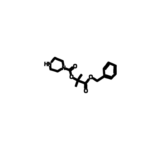 CC(C)(OC(=O)N1CCNCC1)C(=O)OCc1ccccc1